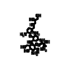 NC1CC1(O)C(=O)N[C@@H]1C[C@H](N)C(O[C@H]2O[C@H](CNCC(O)CO)CC[C@H]2N)[C@H](O)[C@H]1O[C@H]1O[C@H](CO)[C@@H](O)[C@H](N)[C@H]1O